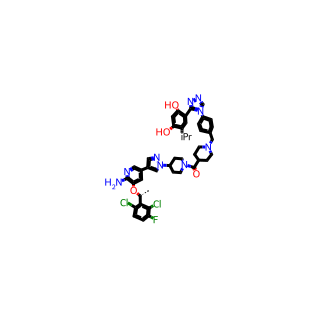 CC(C)c1cc(-c2nncn2-c2ccc(CN3CCC(C(=O)N4CCC(n5cc(-c6cnc(N)c(O[C@H](C)c7c(Cl)ccc(F)c7Cl)c6)cn5)CC4)CC3)cc2)c(O)cc1O